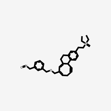 C=P(CC)(CC)CCc1ccc2c(c1)CC/C1=C/C(COCc3cccc(CN=O)c3)=C\CC#CC12